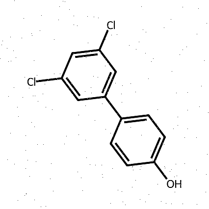 Oc1ccc(-c2cc(Cl)cc(Cl)c2)cc1